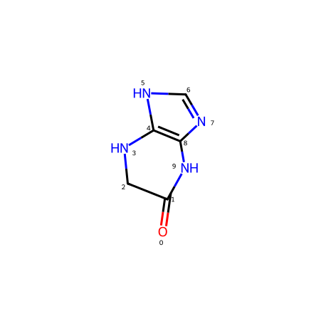 O=C1CNc2[nH]cnc2N1